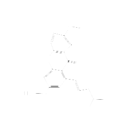 COc1cc(C=CCC(C)C)c2c(=O)c3cc(OC)ccc3oc2c1